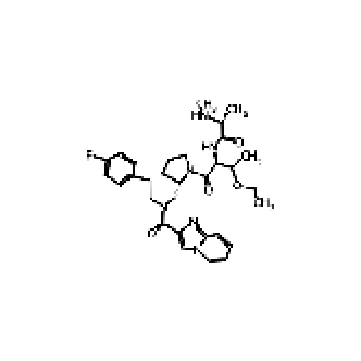 CCO[C@H](C)[C@H](NC(=O)[C@H](C)NC)C(=O)N1CCC[C@H]1CN(CCc1ccc(F)cc1)C(=O)c1cn2ccccc2n1